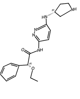 CCO[C@@H](C(=O)Nc1ccc(N[C@@H]2CCNC2)nn1)c1ccccc1